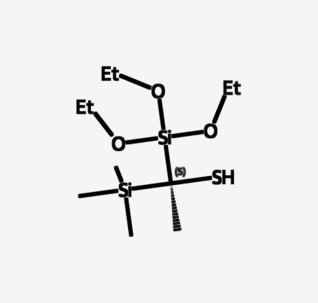 CCO[Si](OCC)(OCC)[C@@](C)(S)[Si](C)(C)C